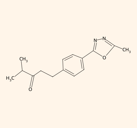 Cc1nnc(-c2ccc(CCC(=O)C(C)C)cc2)o1